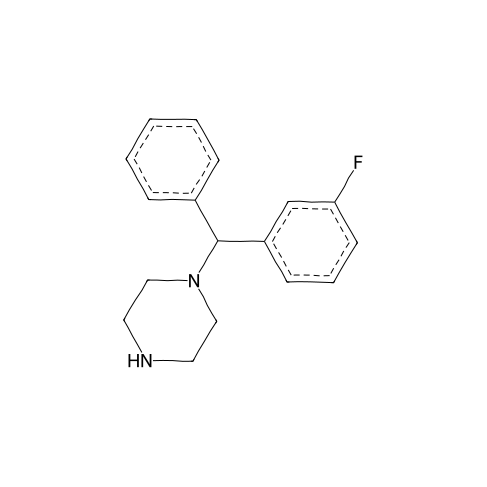 Fc1cccc(C(c2ccccc2)N2CCNCC2)c1